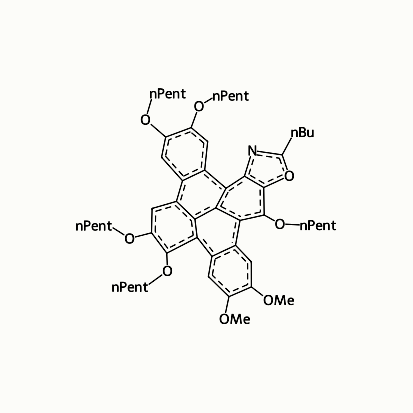 CCCCCOc1cc2c(cc1OCCCCC)c1c3nc(CCCC)oc3c(OCCCCC)c3c4cc(OC)c(OC)cc4c4c(OCCCCC)c(OCCCCC)cc2c4c31